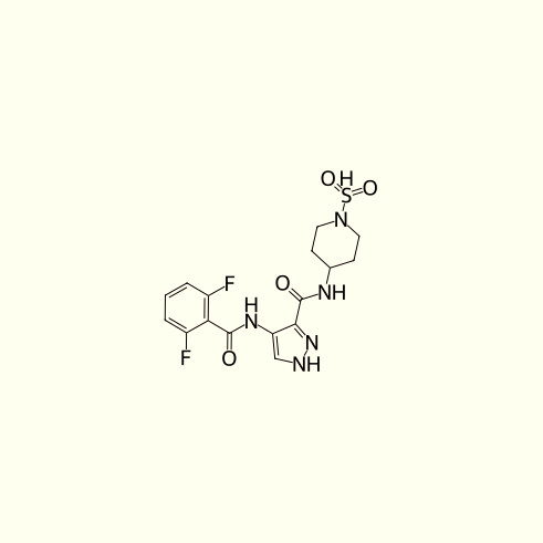 O=C(NC1CCN([SH](=O)=O)CC1)c1n[nH]cc1NC(=O)c1c(F)cccc1F